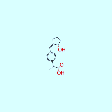 CC(C(=O)O)c1ccc(C=C2CCCC2O)cc1